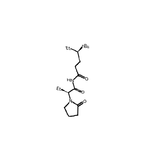 CCCC[C@H](CC)CCC(=O)NC(=O)[C@H](CC)N1CCCC1=O